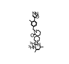 [3H]N1C(C)=CC(C)=NC1([3H])N1CCC2(CCCN(Cc3ccc(-c4cnno4)c(C)c3)C2=O)CC1